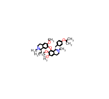 C=C(C)Oc1ccc(C[C@H]2c3c(cc(OC)c(OC)c3Oc3cc4c(cc3OC)CCN(C)[C@@H]4CC)CCN2C)cc1